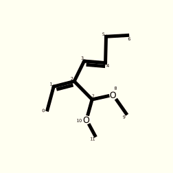 CC=C(C=CCC)C(OC)OC